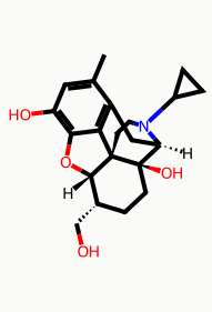 Cc1cc(O)c2c3c1C[C@H]1N(C4CC4)CC[C@@]34[C@@H](O2)[C@@H](CO)CC[C@@]14O